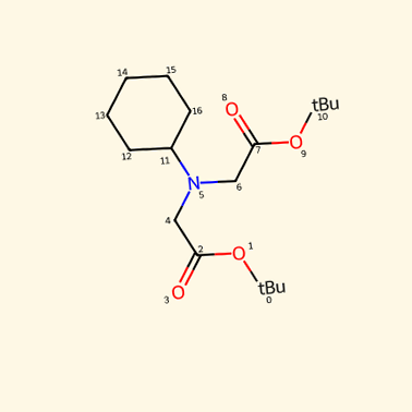 CC(C)(C)OC(=O)CN(CC(=O)OC(C)(C)C)C1CCCCC1